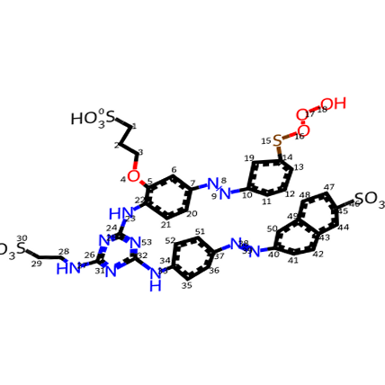 O=S(=O)(O)CCCOc1cc(N=Nc2cccc(SOOO)c2)ccc1Nc1nc(NCCS(=O)(=O)O)nc(Nc2ccc(N=Nc3ccc4cc(S(=O)(=O)O)ccc4c3)cc2)n1